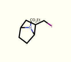 CCOC(=O)N1C2CCC1C(CI)C2